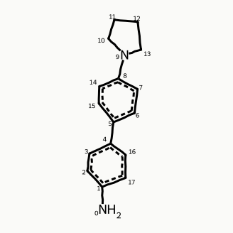 Nc1ccc(-c2ccc(N3CCCC3)cc2)cc1